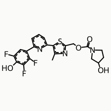 Cc1nc(COC(=O)N2CCC(O)C2)sc1-c1cccc(-c2cc(F)c(O)c(F)c2F)n1